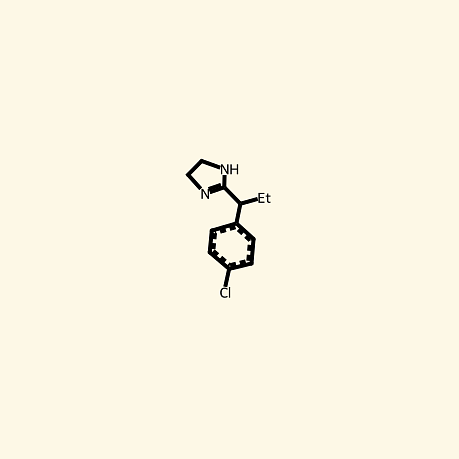 CCC(C1=NCCN1)c1ccc(Cl)cc1